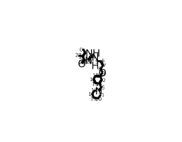 Cc1[nH]c(NC/C=C\COc2cccc(CN3CCCCC3)c2)nc(=O)c1C